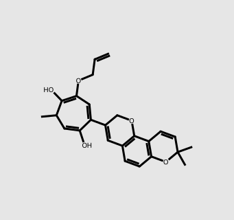 C=CCOC1=C(O)C(C)C=C(O)C(C2=Cc3ccc4c(c3OC2)C=CC(C)(C)O4)=C1